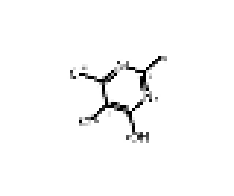 Cc1nc(O)c(Cl)c(Cl)n1